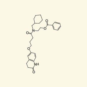 O=C1CCc2cc(OCCCC(=O)N(CCOC(=O)c3ccccc3)CC3CCCCC3)ccc2N1